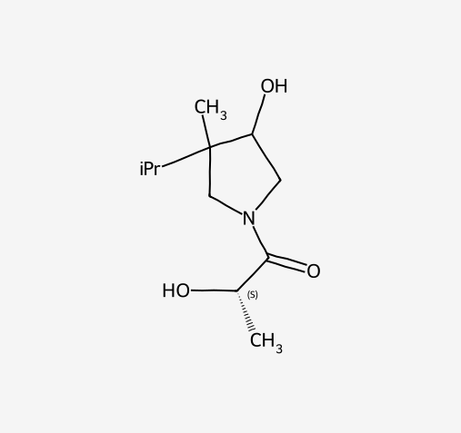 CC(C)C1(C)CN(C(=O)[C@H](C)O)CC1O